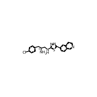 N[C@H](CNc1nnc(-c2ccc3cnccc3c2)s1)Cc1ccc(Cl)cc1